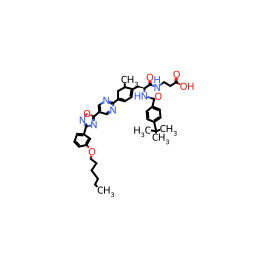 CCCCCCOc1cccc(-c2noc(-c3cnc(C4=CC=C(C[C@H](NC(=O)c5ccc(C(C)(C)C)cc5)C(=O)NCCC(=O)O)C(C)C4)nc3)n2)c1